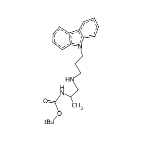 CC(CNCCCn1c2ccccc2c2ccccc21)NC(=O)OC(C)(C)C